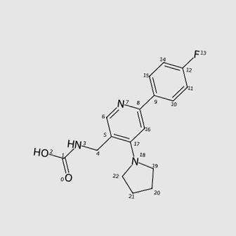 O=C(O)NCc1cnc(-c2ccc(F)cc2)cc1N1CCCC1